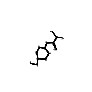 CCC1CCC(CC(=O)C(C)C)CC1